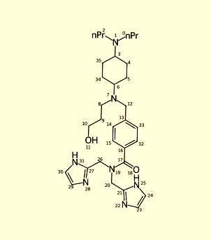 CCCN(CCC)C1CCC(N(CCCO)Cc2ccc(C(=O)N(Cc3ncc[nH]3)Cc3ncc[nH]3)cc2)CC1